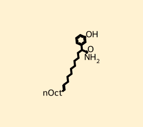 CCCCCCCCC=CCCCCCCCCC(C(N)=O)c1cccc(O)c1